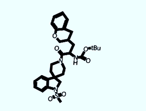 CC(C)(C)OC(=O)NC(CC1COc2ccccc2C1)C(=O)N1CCC2(CC1)CN(S(C)(=O)=O)c1ccccc12